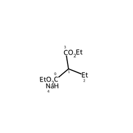 CCOC(=O)C(CC)C(=O)OCC.[NaH]